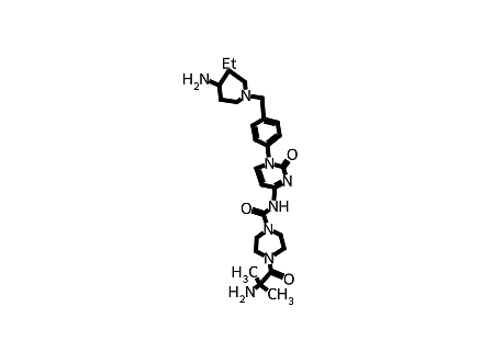 CCC1CN(Cc2ccc(-n3ccc(NC(=O)N4CCN(C(=O)C(C)(C)N)CC4)nc3=O)cc2)CCC1N